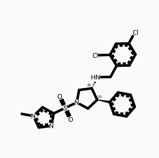 Cn1cnc(S(=O)(=O)N2C[C@H](NCc3ccc(Cl)cc3Cl)[C@@H](c3ccccc3)C2)c1